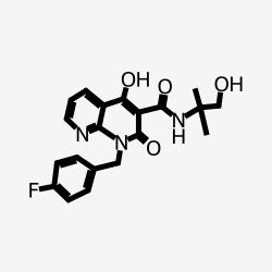 CC(C)(CO)NC(=O)c1c(O)c2cccnc2n(Cc2ccc(F)cc2)c1=O